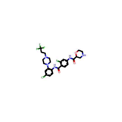 O=C(Nc1ccc(Cl)cc1N1CCN(CCC(F)(F)F)CC1)c1ccc(NC(=O)C2CNCCO2)cc1F